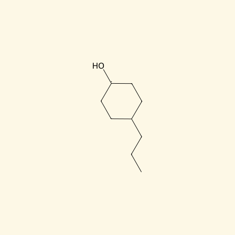 CCCC1CC[C](O)CC1